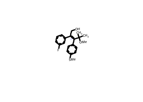 COC(C)(C)/C(=C(\CO)c1cccc(F)c1)c1ccc(SC)cc1